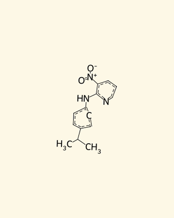 CC(C)c1ccc(Nc2ncccc2[N+](=O)[O-])cc1